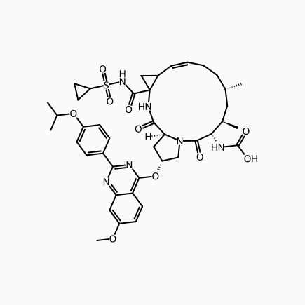 COc1ccc2c(O[C@@H]3C[C@H]4C(=O)NC5(C(=O)NS(=O)(=O)C6CC6)CC5/C=C\CC[C@H](C)C[C@@H](C)[C@H](NC(=O)O)C(=O)N4C3)nc(-c3ccc(OC(C)C)cc3)nc2c1